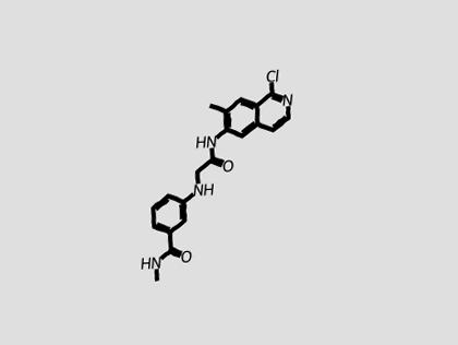 CNC(=O)c1cccc(NCC(=O)Nc2cc3ccnc(Cl)c3cc2C)c1